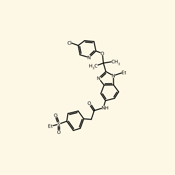 CCn1c(C(C)(C)Oc2ccc(Cl)cn2)nc2cc(NC(=O)Cc3ccc(S(=O)(=O)CC)cc3)ccc21